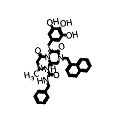 CN1CC(=O)N2[C@H](Cc3cc(O)c(O)c(O)c3)C(=O)N(Cc3cccc4ccccc34)C[C@@H]2N1C(=O)NCc1ccccc1